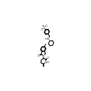 C=C1CCC(N2Cc3cc(C[C@H]4CCCC[C@@H]4NCc4ccc(S(C)(=O)=O)cc4)ccc3C2=O)C(=O)N1